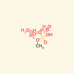 COS(=O)(=O)O.O.O.O.O.O